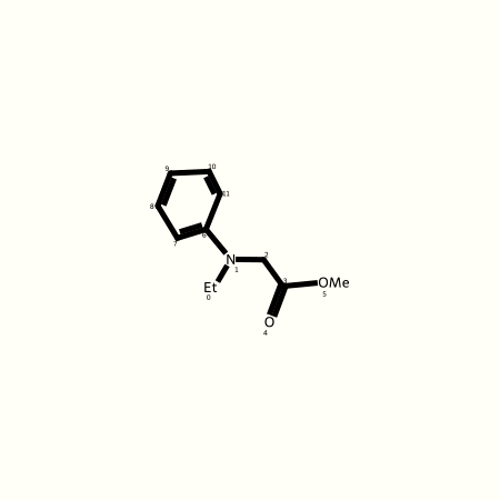 CCN(CC(=O)OC)c1ccccc1